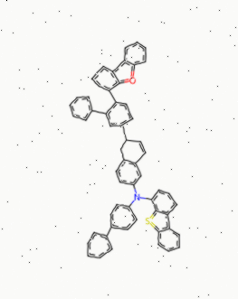 C1=CC(c2ccc(-c3cccc4c3oc3ccccc34)c(-c3ccccc3)c2)Cc2ccc(N(c3ccc(-c4ccccc4)cc3)c3cccc4c3sc3ccccc34)cc21